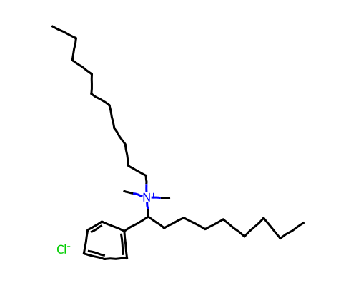 CCCCCCCCCC[N+](C)(C)C(CCCCCCCC)c1ccccc1.[Cl-]